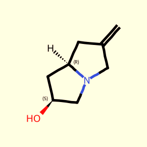 C=C1C[C@@H]2C[C@H](O)CN2C1